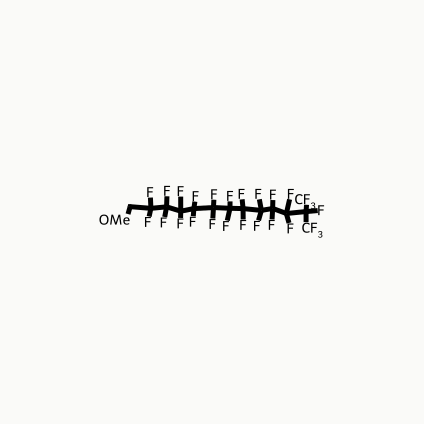 COCC(F)(F)C(F)(F)C(F)(F)C(F)(F)C(F)(F)C(F)(F)C(F)(F)C(F)(F)C(F)(F)C(F)(F)C(F)(C(F)(F)F)C(F)(F)F